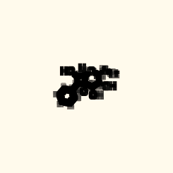 CCS[C@@H]1O[C@@H]2C(O)C(c3ccccc3)[C@@]2(O)[C@H](O)[C@H]1O